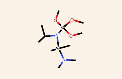 CO[Si](OC)(OC)N(C(C)C)[Si](C)(C)N(C)C